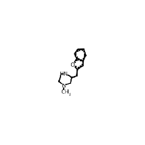 CN1CCNC(Cc2cc3ccccc3o2)C1